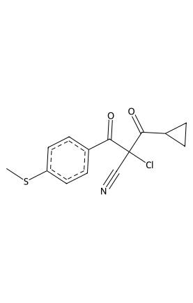 CSc1ccc(C(=O)C(Cl)(C#N)C(=O)C2CC2)cc1